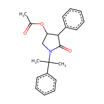 CC(=O)OC1CN(C(C)(C)c2ccccc2)C(=O)C1c1ccccc1